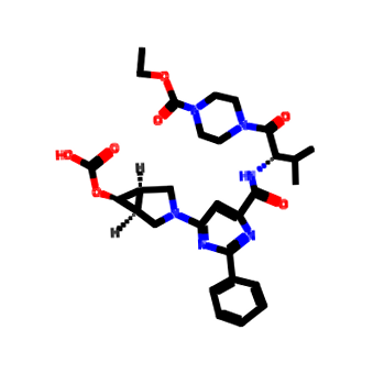 CCOC(=O)N1CCN(C(=O)[C@@H](NC(=O)c2cc(N3C[C@@H]4[C@H](C3)[C@@H]4OC(=O)O)nc(-c3ccccc3)n2)C(C)C)CC1